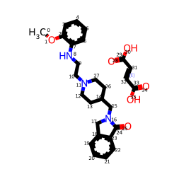 COc1ccccc1NCCN1CCC(CN2Cc3ccccc3C2=O)CC1.O=C(O)/C=C/C(=O)O